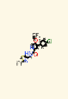 CC(C)c1nc(CNC(=O)c2cc(-c3ccc(Cl)cc3)c(OCC(F)(F)F)cn2)cs1